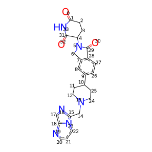 O=C1CCC(N2Cc3cc(C4CCN(Cc5ncc6ncccn56)CC4)ccc3C2=O)C(=O)N1